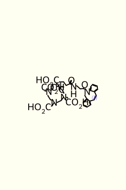 O=C(O)CN1CCN(CC(=O)O)CCN(C(CCC(=O)NCCC(=O)N2Cc3ccccc3/C=C\c3ccccc32)C(=O)O)CCN(CC(=O)O)CC1